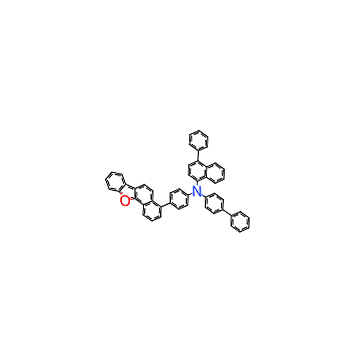 c1ccc(-c2ccc(N(c3ccc(-c4cccc5c4ccc4c6ccccc6oc54)cc3)c3ccc(-c4ccccc4)c4ccccc34)cc2)cc1